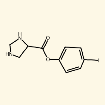 O=C(Oc1ccc(I)cc1)C1CNCN1